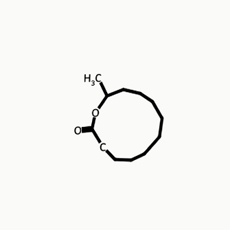 CC1CCCCCCCCCC(=O)O1